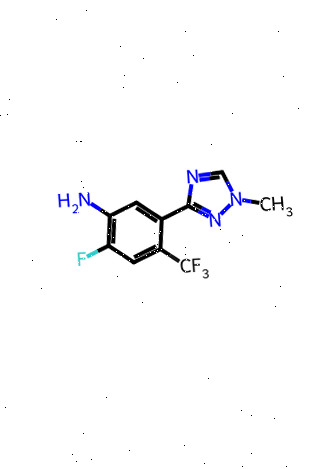 Cn1cnc(-c2cc(N)c(F)cc2C(F)(F)F)n1